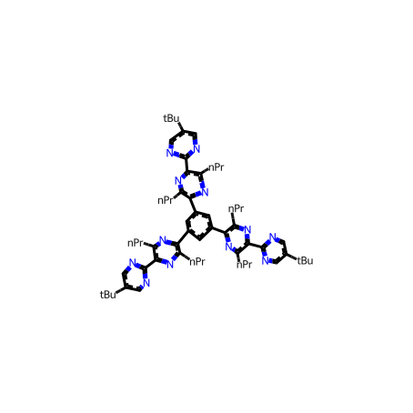 CCCc1nc(-c2ncc(C(C)(C)C)cn2)c(CCC)nc1-c1cc(-c2nc(CCC)c(-c3ncc(C(C)(C)C)cn3)nc2CCC)cc(-c2nc(CCC)c(-c3ncc(C(C)(C)C)cn3)nc2CCC)c1